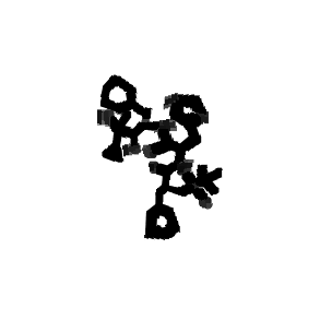 CC(C)(C)S(=O)(=O)C[C@@H](Cc1ccccc1)C(=O)NC(Cc1c[nH]cn1)C(=O)N[C@@H](CC1CCCCC1)[C@@H](O)[C@@](C)(O)C1CC1